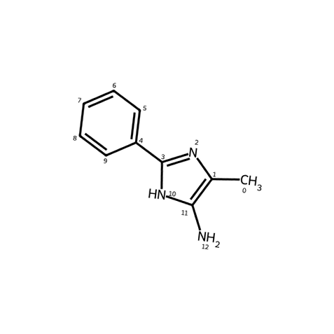 Cc1nc(-c2ccccc2)[nH]c1N